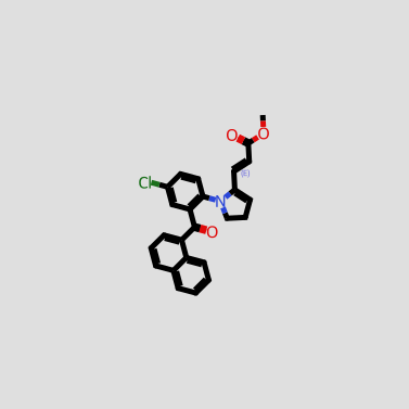 COC(=O)/C=C/C1=CCCN1c1ccc(Cl)cc1C(=O)c1cccc2ccccc12